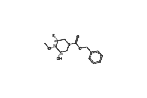 CO[C@@H]1[C@H](F)CN(C(=O)OCc2ccccc2)C[C@@H]1O